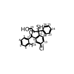 O=C(c1ccccc1F)c1cc(Cl)ccc1C(S)(CCO)c1ccccc1